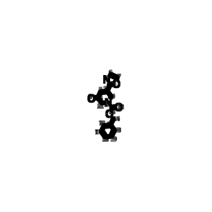 O=C1C=C(c2ncco2)CN(C(=O)OCc2ccccc2)C1